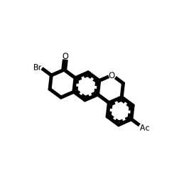 CC(=O)c1ccc2c(c1)COc1cc3c(cc1-2)CCC(Br)C3=O